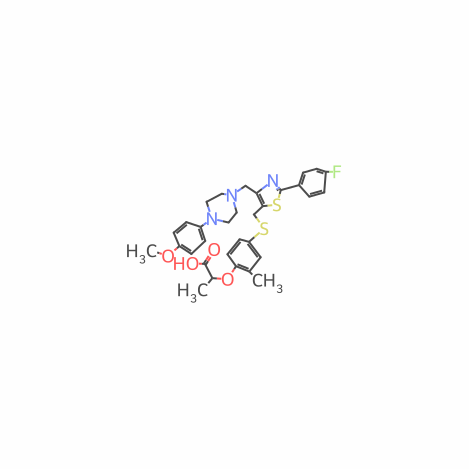 COc1ccc(N2CCN(Cc3nc(-c4ccc(F)cc4)sc3CSc3ccc(OC(C)C(=O)O)c(C)c3)CC2)cc1